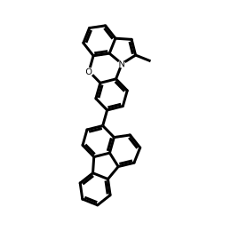 Cc1cc2cccc3c2n1-c1ccc(-c2ccc4c5c(cccc25)-c2ccccc2-4)cc1O3